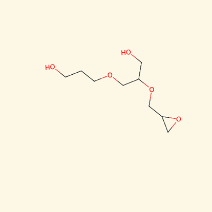 OCCCOCC(CO)OCC1CO1